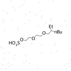 CCCCC(CC)COCCOCCOS(=O)(=O)O